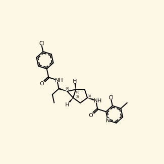 CCC(NC(=O)c1ccc(Cl)cc1)[C@H]1[C@@H]2C[C@@H](NC(=O)c3nccc(C)c3Cl)C[C@@H]21